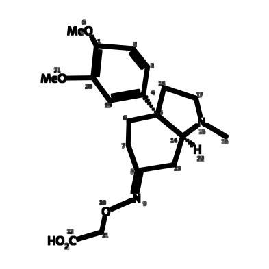 COc1ccc([C@@]23CCC(=NOCC(=O)O)C[C@@H]2N(C)CC3)cc1OC